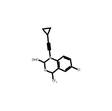 O=CC1OC(C(F)(F)F)c2cc(Cl)ccc2N1C#CC1CC1